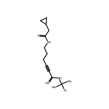 CCCCC(CCCC)(NC(=N)C#CCCCNC(=O)CC1CC1)C(C)=O